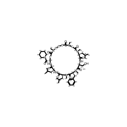 CC(C)C[C@@H]1NC(=O)[C@H](CC(C)C)N(C)C(=O)[C@H](Cc2ccccc2)N(C)C(=O)[C@H]([C@@H](C)O)NC(=O)[C@H](CC(C)C)N(C)C(=O)CN(C)C(=O)CCCN(C)C(=O)C[C@@H](C(=O)N2CCCCC2)NC1=O